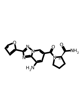 NC(=O)[C@H]1CCCN1C(=O)c1cc(N)c2nc(-c3ccco3)nn2c1